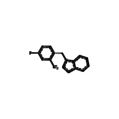 Fc1ccc(Cn2ccc3ccccc32)c(C(F)(F)F)c1